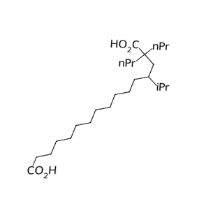 CCCC(CCC)(CC(CCCCCCCCCCCC(=O)O)C(C)C)C(=O)O